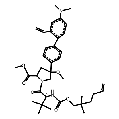 C=CCCC(C)(C)COC(=O)N[C@H](C(=O)N1CC(OC)(c2ccc(-c3ccc(N(C)C)cc3C=C)cc2)CC1C(=O)OC)C(C)(C)C